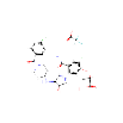 CNC(=O)c1cc(Cl)c(OC(C)(C)C(=O)O)cc1N1CC(O)C(NC2CCN(C(=O)c3ccc(Cl)cc3)CC2)C1.O=C(O)C(F)(F)F